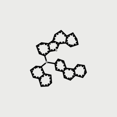 c1ccc2c(N(c3ccc4c(ccc5ccccc54)c3)c3cccc4c3sc3c5ccccc5ccc43)cccc2c1